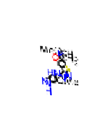 COc1cc2[nH]ncc2cc1Nc1ncnc2sc3c(c12)CC[C@](C)(C(=O)N(C)OC)C3